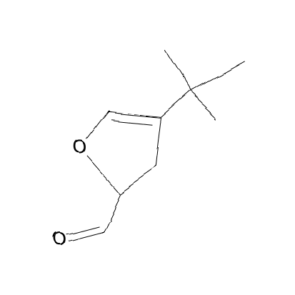 CC(C)(C)C1=COC(C=O)C1